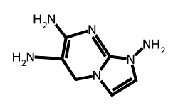 NC1=C(N)N=C2N(N)C=CN2C1